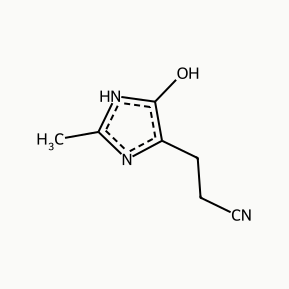 Cc1nc(CCC#N)c(O)[nH]1